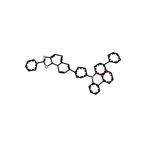 C1=CC2C(=CC=C3N=C(c4ccccc4)OC32)C=C1c1ccc(N(c2ccc(-c3ccccc3)cc2)c2ccccc2-c2ccccc2)cc1